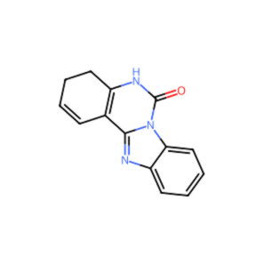 O=c1[nH]c2c(c3nc4ccccc4n13)C=CCC2